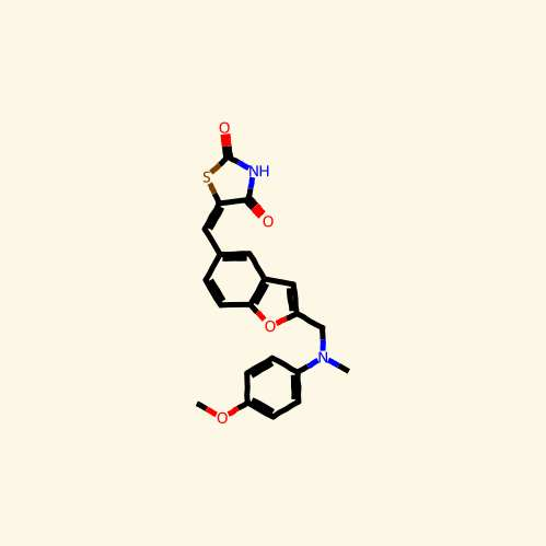 COc1ccc(N(C)Cc2cc3cc(C=C4SC(=O)NC4=O)ccc3o2)cc1